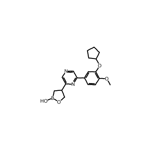 COc1ccc(-c2cncc(C3COB(O)C3)n2)cc1OC1CCCC1